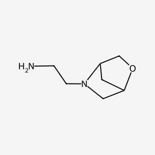 NCCN1CC2CC1CO2